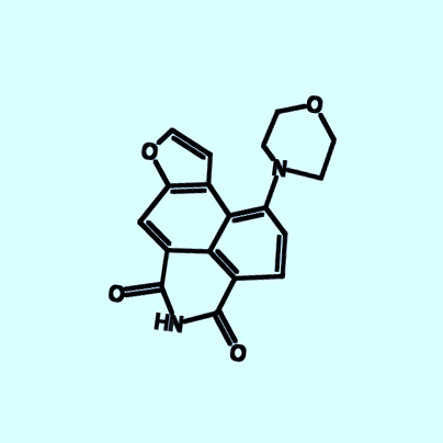 O=C1NC(=O)c2cc3occc3c3c(N4CCOCC4)ccc1c23